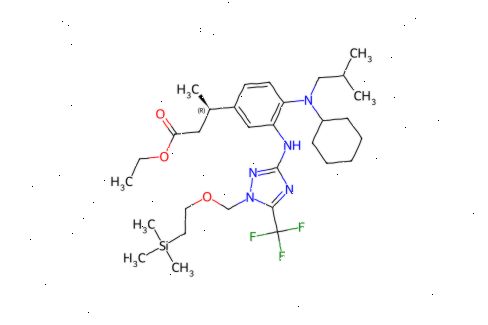 CCOC(=O)C[C@@H](C)c1ccc(N(CC(C)C)C2CCCCC2)c(Nc2nc(C(F)(F)F)n(COCC[Si](C)(C)C)n2)c1